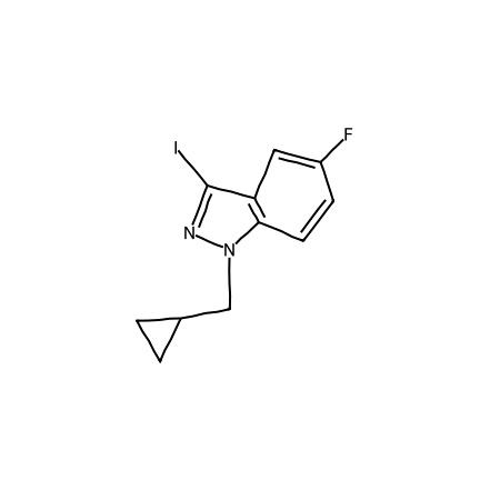 Fc1ccc2c(c1)c(I)nn2CC1CC1